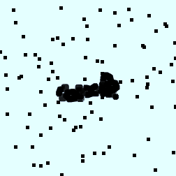 CNCC(C)(C(=O)N1CC2=C(C1)CN(S(=O)(=O)c1ccc3c(c1)OCCO3)C2)c1cccc2cccnc12